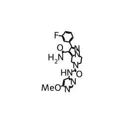 COc1cc(NC(=O)N2CCn3nc(-c4cccc(F)c4)c(C(N)=O)c3C2)ncn1